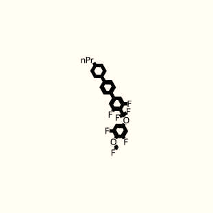 CCCC1CCC(c2ccc(-c3cc(F)c(C(F)(F)Oc4cc(F)c(OCF)c(F)c4)c(F)c3)cc2)CC1